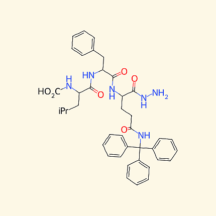 CC(C)CC(NC(=O)O)C(=O)NC(Cc1ccccc1)C(=O)NC(CCC(=O)NC(c1ccccc1)(c1ccccc1)c1ccccc1)C(=O)NN